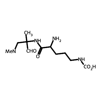 CNCC(C)(C=O)NC(=O)C(N)CCCNC(=O)O